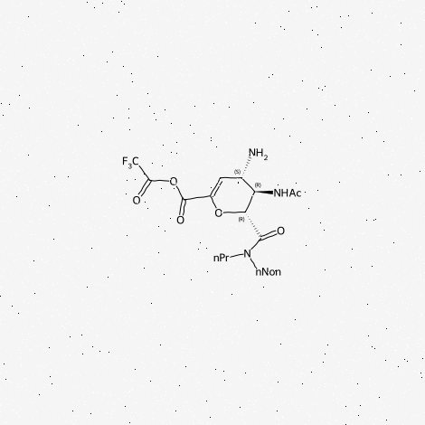 CCCCCCCCCN(CCC)C(=O)[C@@H]1OC(C(=O)OC(=O)C(F)(F)F)=C[C@H](N)[C@H]1NC(C)=O